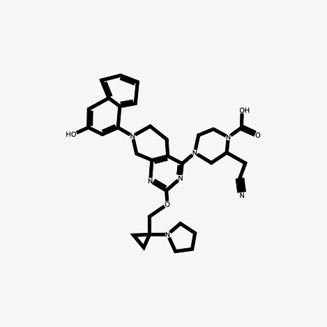 N#CCC1CN(c2nc(OCC3(N4CCCC4)CC3)nc3c2CCN(c2cc(O)cc4ccccc24)C3)CCN1C(=O)O